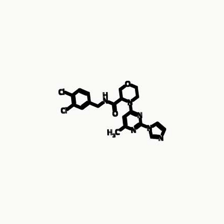 Cc1cc(N2CCOCC2C(=O)NCc2ccc(Cl)c(Cl)c2)nc(-n2ccnc2)n1